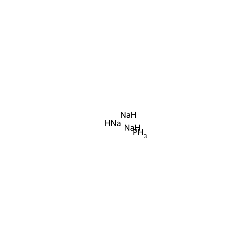 P.[NaH].[NaH].[NaH]